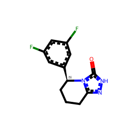 O=c1[nH]nc2n1[C@H](c1cc(F)cc(F)c1)CCC2